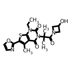 CCn1c(=O)n(C(C)(C)C(=O)N2CC(O)C2)c(=O)c2c(C)c(-c3ncco3)sc21